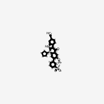 C#Cc1ccc2c(c1)[nH]c1c2c(=O)c2cc(OC(C)C)c(-c3cccc(S(=O)(=O)F)c3)cc2n1C1CCCC1